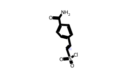 NC(=O)c1ccc(/C=C/S(=O)(=O)Cl)cc1